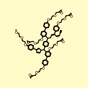 C#C/C=C\C(=C/CC(c1ccc(C(c2cc(-c3ccc(OCCOCC4CO4)cc3)ccc2OCCOCC2CO2)C2C=CC(c3ccc(OCCOCCOC)cc3)=C2)cc1)c1cc(-c2ccc(OCCOCC3CO3)cc2)ccc1OCCOCC1CO1)c1ccc(OCCOCC2CO2)cc1